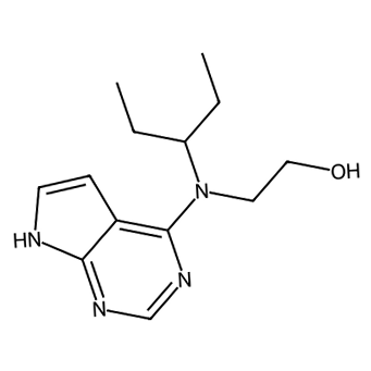 CCC(CC)N(CCO)c1ncnc2[nH]ccc12